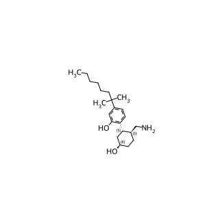 CCCCCCC(C)(C)c1ccc([C@H]2C[C@H](O)CC[C@@H]2CN)c(O)c1